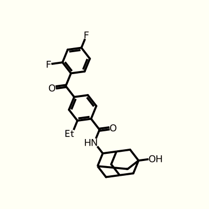 CCc1cc(C(=O)c2ccc(F)cc2F)ccc1C(=O)NC1C2CC3CC1CC(O)(C3)C2